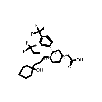 O=C(O)C[C@@H]1CCN([C@@H](CCC(F)(F)F)CCC2(O)CCCCC2)[C@H](c2ccc(C(F)(F)F)cc2)C1